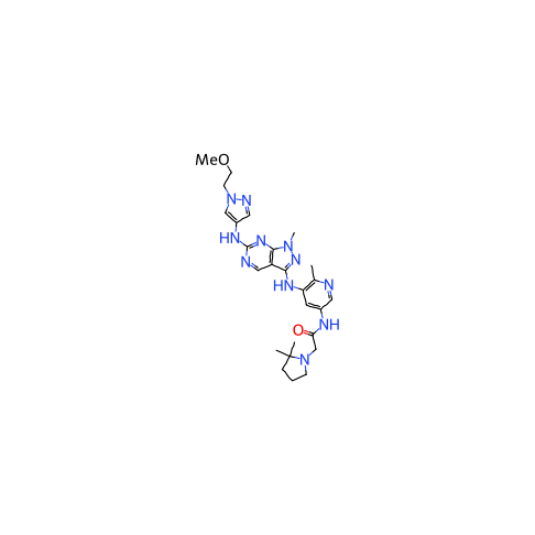 COCCn1cc(Nc2ncc3c(Nc4cc(NC(=O)CN5CCCC5(C)C)cnc4C)nn(C)c3n2)cn1